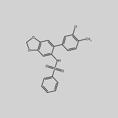 Cc1ccc(-c2cc3c(cc2NS(=O)(=O)c2ccccc2)OCO3)cc1Cl